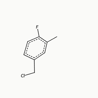 Cc1cc(CCl)ccc1F